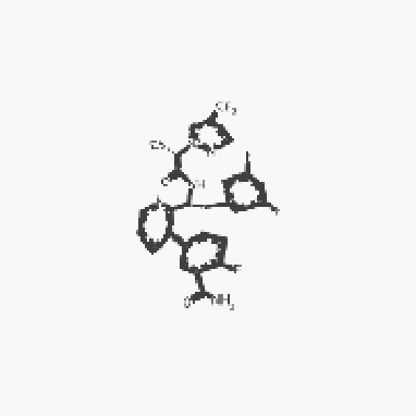 CC[C@@H](C(=O)N[C@@H](Cc1cc(F)cc(F)c1)c1ncccc1-c1ccc(F)c(C(N)=O)c1)n1cc(C(F)(F)F)cn1